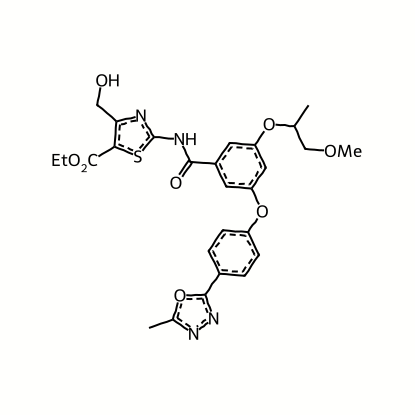 CCOC(=O)c1sc(NC(=O)c2cc(Oc3ccc(-c4nnc(C)o4)cc3)cc(OC(C)COC)c2)nc1CO